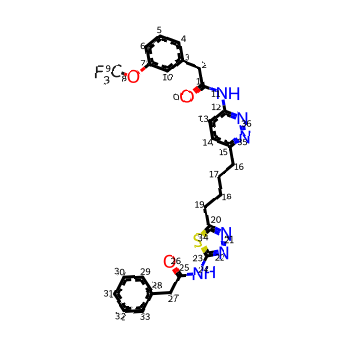 O=C(Cc1cccc(OC(F)(F)F)c1)Nc1ccc(CCCCc2nnc(NC(=O)Cc3ccccc3)s2)nn1